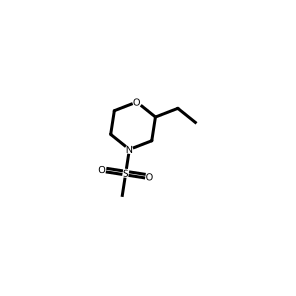 CCC1CN(S(C)(=O)=O)CCO1